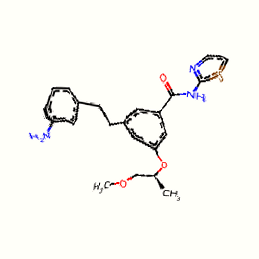 COC[C@H](C)Oc1cc(CCc2cccc(N)c2)cc(C(=O)Nc2nccs2)c1